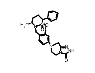 C[C@H]1CCC(c2ccccc2)S(=O)(=O)N1Cc1ccc(N2CCn3c(n[nH]c3=O)C2)cc1F